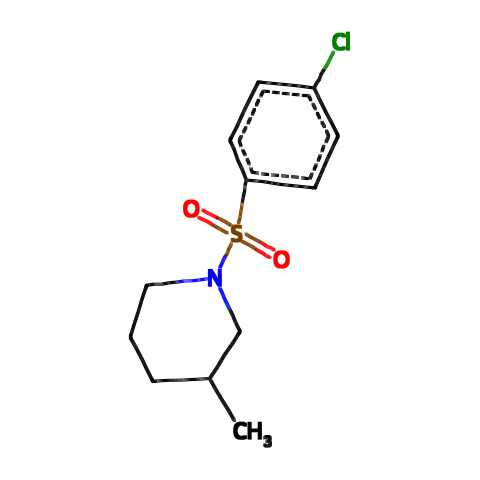 CC1CCCN(S(=O)(=O)c2ccc(Cl)cc2)C1